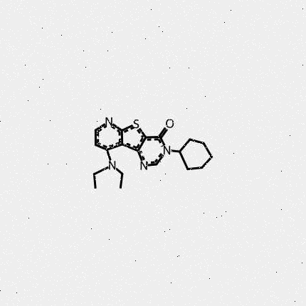 CCN(CC)c1ccnc2sc3c(=O)n(C4CCCCC4)cnc3c12